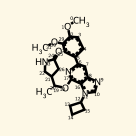 COc1ccc(-c2cc3ncn(C4CCC4)c3c(O[C@H](C)C3CNC(=O)C3)n2)cc1OC